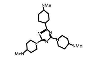 CNC1CCC(c2nc(N3CCC(NC)CC3)nc(N3CCC(NC)CC3)n2)CC1